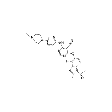 CCN1CCN(c2ccc(Nc3ncnc(Oc4ccc5c(cc(C)n5C(C)=O)c4F)c3C#N)nc2)CC1